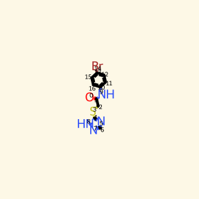 O=C(CSc1ncn[nH]1)Nc1ccc(Br)cc1